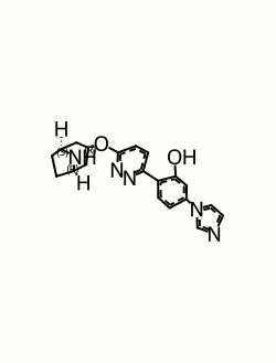 Oc1cc(-n2ccnc2)ccc1-c1ccc(O[C@H]2C[C@H]3CC[C@@H](C2)N3)nn1